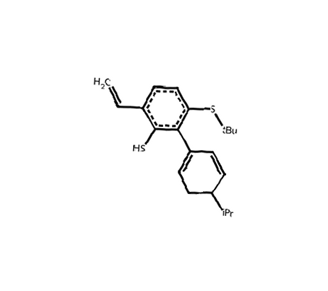 C=Cc1ccc(SC(C)(C)C)c(C2=CCC(C(C)C)C=C2)c1S